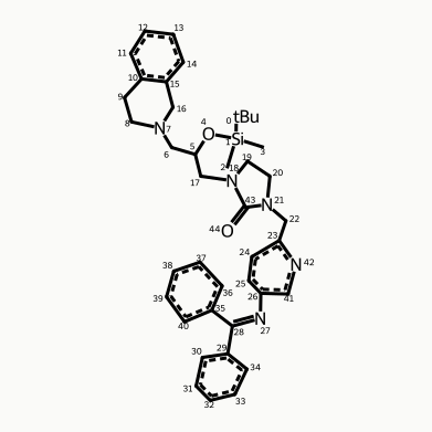 CC(C)(C)[Si](C)(C)OC(CN1CCc2ccccc2C1)CN1CCN(Cc2ccc(N=C(c3ccccc3)c3ccccc3)cn2)C1=O